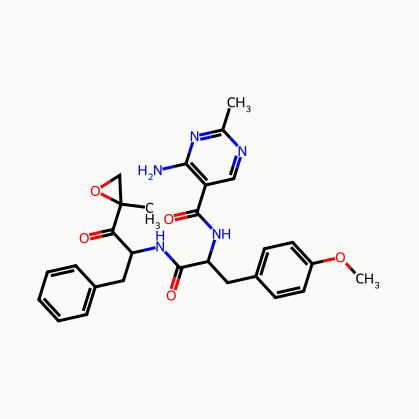 COc1ccc(CC(NC(=O)c2cnc(C)nc2N)C(=O)NC(Cc2ccccc2)C(=O)C2(C)CO2)cc1